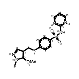 COC1C(CSc2ccc(S(=O)(=O)Nc3ncccn3)cc2)C=NN1C